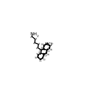 Cl.NCCCCCc1c2ccccc2cc2ccccc12